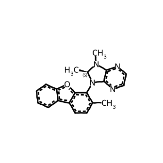 Cc1ccc2c(oc3ccccc32)c1N1c2nccnc2N(C)[C@@H]1C